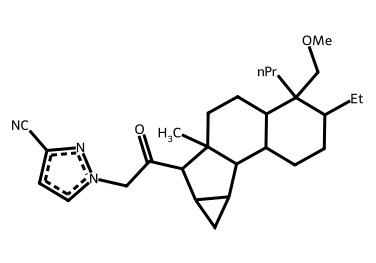 CCCC1(COC)C(CC)CCC2C3C4CC4C(C(=O)Cn4ccc(C#N)n4)C3(C)CCC21